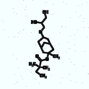 CCC(C)(C)C(=O)OC1(C)CC2CC(CC(OCC(O)CO)C2)C1